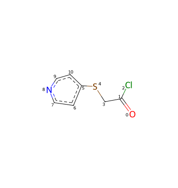 O=C(Cl)CSc1ccncc1